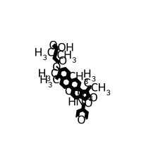 CC(C)C1=C2C3CCC4[C@@]5(C)CC[C@H](OC(=O)CC(C)(C)C(=O)O)C(C)(C)C5CC[C@@]4(C)[C@]3(C)CC[C@@]2(NC(=O)C2CCOCC2)CC1=O